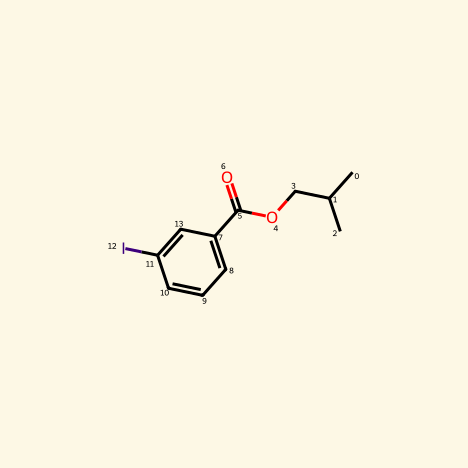 CC(C)COC(=O)c1cccc(I)c1